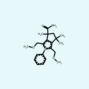 COCc1c2c(c(COC)n1-c1ccccc1)C(C)(C(N)=O)CC2(C)C